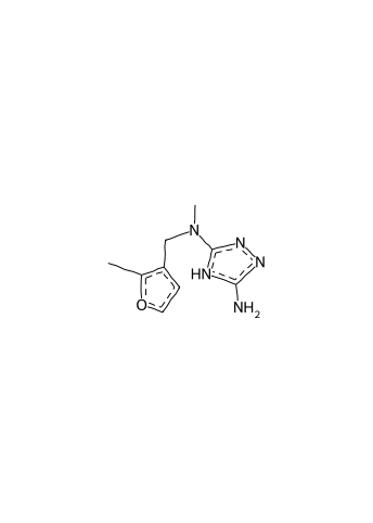 Cc1occc1CN(C)c1nnc(N)[nH]1